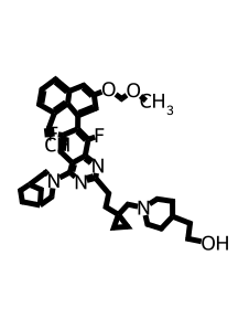 C#Cc1cccc2cc(OCOC)cc(-c3c(F)cc4c(N5CC6CCC(C6)C5)nc(CCC5(CN6CCC(CCO)CC6)CC5)nc4c3F)c12